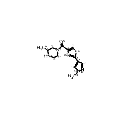 C[C@H]1CN(C(=O)c2csc(-c3cnn(C)c3)n2)CCN1